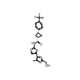 Cc1nc(CO)sc1-c1csc(NC(=O)[C@H]2C[C@@H](c3ccc(C(F)(F)F)cc3)C2)n1